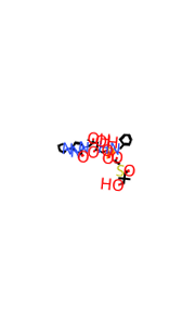 CC(C)(CO)C(=O)SCCOP(=O)(NCc1ccccc1)OC[C@H]1O[C@@H](n2ccc(N3CCCC3)nc2=O)[C@](C)(O)[C@@H]1O